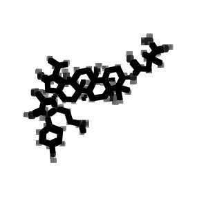 CNCCn1c([C@@]23CC[C@]4(C)[C@H](CC[C@@H]5[C@@]6(C)CC[C@H](OC(=O)CC(C)(C)C(=O)O)C(C)(C)[C@@H]6CC[C@]54C)C2=C(C(C)C)C(=O)C3)c(Cl)c(=O)n1-c1ccc(F)cc1